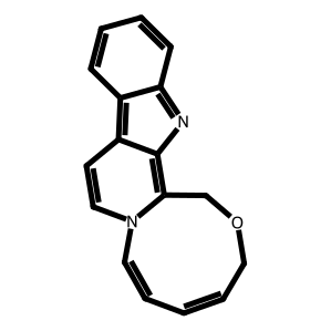 C1=CCOCc2c3nc4ccccc4c-3ccn2C=C1